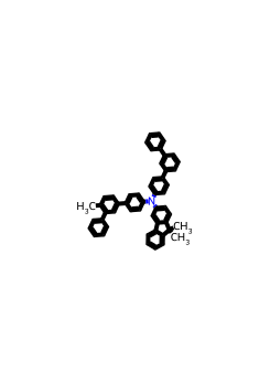 Cc1ccc(-c2ccc(N(c3ccc(-c4cccc(-c5ccccc5)c4)cc3)c3ccc4c(c3)-c3ccccc3C4(C)C)cc2)cc1-c1ccccc1